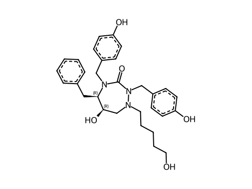 O=C1N(Cc2ccc(O)cc2)[C@H](Cc2ccccc2)[C@H](O)CN(CCCCCO)N1Cc1ccc(O)cc1